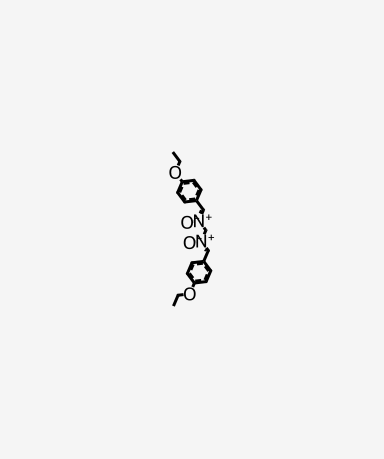 CCOc1ccc(/C=[N+](\[O-])C/[N+]([O-])=C/c2ccc(OCC)cc2)cc1